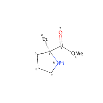 CC[C@@]1(C(=O)OC)CCCN1